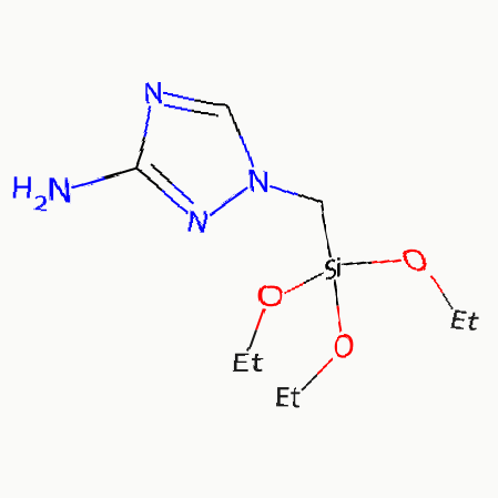 CCO[Si](Cn1cnc(N)n1)(OCC)OCC